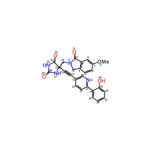 COc1ccc2c(c1)C(=O)N(C[C@@]1(C#Cc3ccc(-c4ccccc4O)nc3)NC(=O)NC1=O)C2